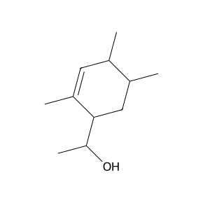 CC1=CC(C)C(C)CC1C(C)O